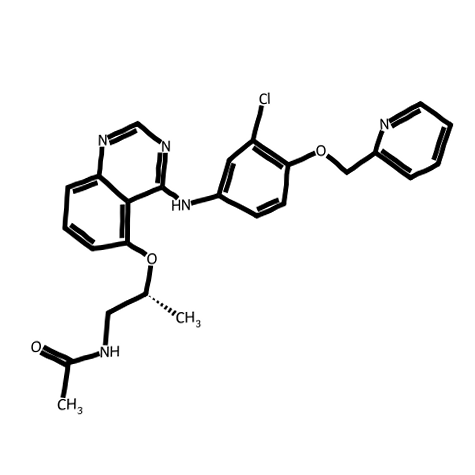 CC(=O)NC[C@@H](C)Oc1cccc2ncnc(Nc3ccc(OCc4ccccn4)c(Cl)c3)c12